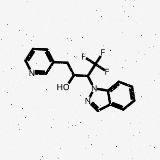 OC(Cc1cccnc1)C(n1ncc2ccccc21)C(F)(F)F